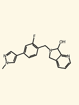 Cn1cc(-c2ccc(CN3Cc4cccnc4C3O)c(F)c2)cn1